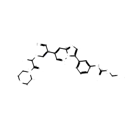 CC(N/C=C(\C=N)c1cnn2c(-c3cccc(NC(=O)NCC(F)(F)F)c3)cnc2c1)C(=O)N1CCOCC1